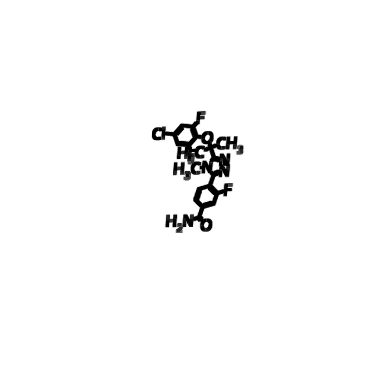 Cn1c(-c2ccc(C(N)=O)cc2F)nnc1C(C)(C)Oc1c(F)cc(Cl)cc1F